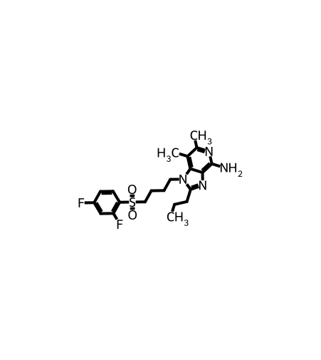 CCCc1nc2c(N)nc(C)c(C)c2n1CCCCS(=O)(=O)c1ccc(F)cc1F